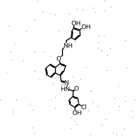 O=C(N/N=C/c1ccc(OCCNCc2ccc(O)c(O)c2)c2ccccc12)c1ccc(O)c(Cl)c1